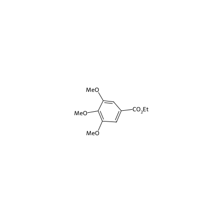 CCOC(=O)c1cc(OC)c(OC)c(OC)c1